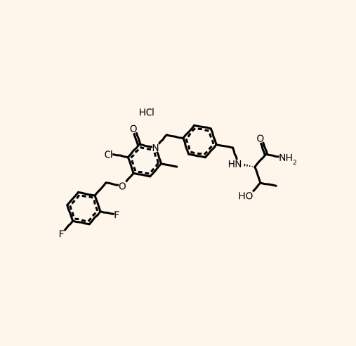 Cc1cc(OCc2ccc(F)cc2F)c(Cl)c(=O)n1Cc1ccc(CN[C@H](C(N)=O)C(C)O)cc1.Cl